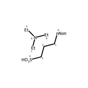 CCCCCCCCCCCCS(=O)(=O)O.CCN(CC)CC